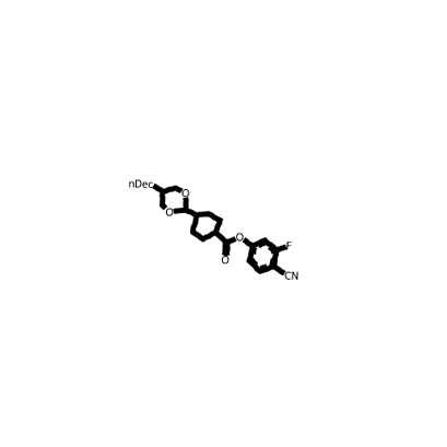 CCCCCCCCCCC1COC(C2CCC(C(=O)Oc3ccc(C#N)c(F)c3)CC2)OC1